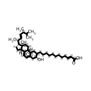 CC(C)[C@@H](C)C=C[C@@H](C)[C@H]1CC[C@H]2C3=CC=C4C[C@@H](O)C(CCCCCCCCC/C=C/C(=O)O)C[C@]4(C)[C@H]3CC[C@]12C